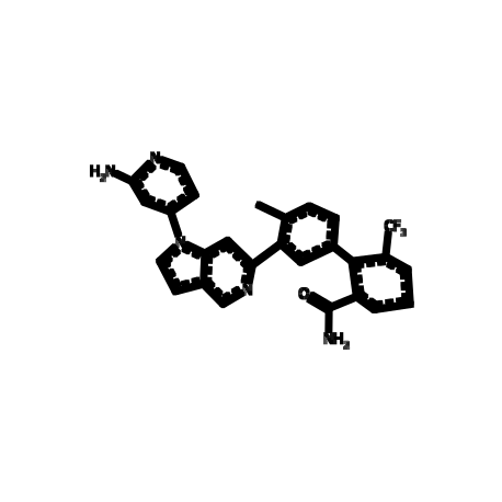 Cc1ccc(-c2c(C(N)=O)cccc2C(F)(F)F)cc1-c1cc2c(ccn2-c2ccnc(N)c2)cn1